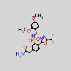 COc1ccc(CNS(=O)(=O)c2cc(CC(N)=O)ccc2-c2nnc(C(F)F)o2)c(OC)c1